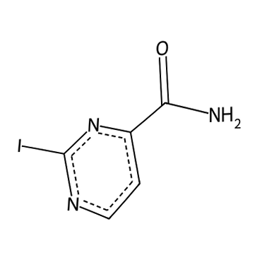 NC(=O)c1ccnc(I)n1